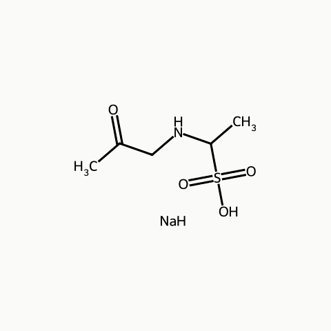 CC(=O)CNC(C)S(=O)(=O)O.[NaH]